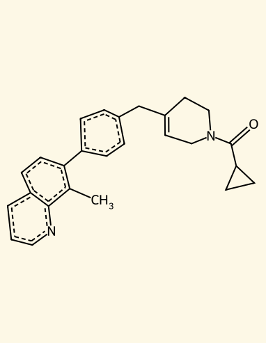 Cc1c(-c2ccc(CC3=CCN(C(=O)C4CC4)CC3)cc2)ccc2cccnc12